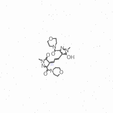 CN1N=C(C(=O)N2CCOCC2)/C(=C/C=Cc2c(C(=O)N3CCOCC3)nn(C)c2O)C1=O